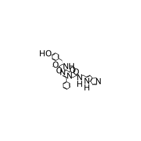 COC(=O)[C@H](Cc1ccc(O)cc1)Nc1ncc(-c2ccccc2)n(CC(=O)NCc2cc3cnccc3[nH]2)c1=O